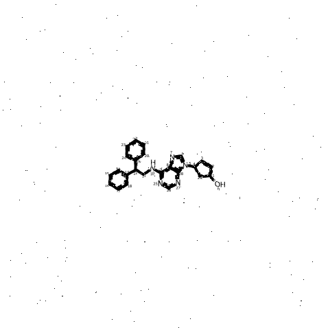 OC1C=CC(n2cnc3c(NCC(c4ccccc4)c4ccccc4)ncnc32)C1